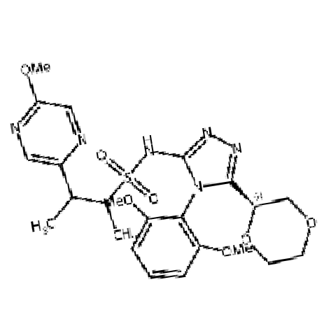 COc1cnc(C(C)C(C)S(=O)(=O)Nc2nnc([C@H]3COCCO3)n2-c2c(OC)cccc2OC)cn1